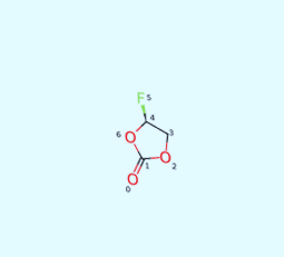 O=C1OC[C@H](F)O1